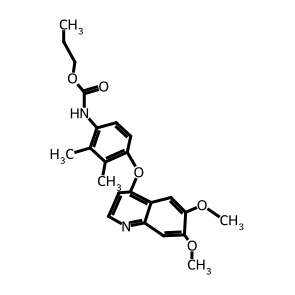 CCCOC(=O)Nc1ccc(Oc2ccnc3cc(OC)c(OC)cc23)c(C)c1C